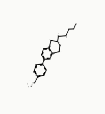 CCCCCC1CCc2cc(-c3ccc(COC)cc3)ccc2C1